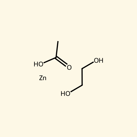 CC(=O)O.OCCO.[Zn]